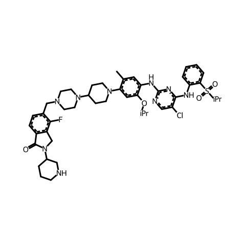 Cc1cc(Nc2ncc(Cl)c(Nc3ccccc3S(=O)(=O)C(C)C)n2)c(OC(C)C)cc1N1CCC(N2CCN(Cc3ccc4c(c3F)CN(C3CCCNC3)C4=O)CC2)CC1